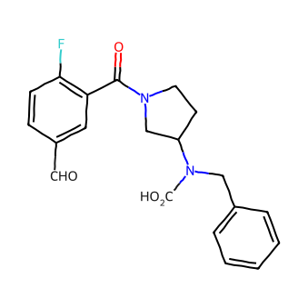 O=Cc1ccc(F)c(C(=O)N2CCC(N(Cc3ccccc3)C(=O)O)C2)c1